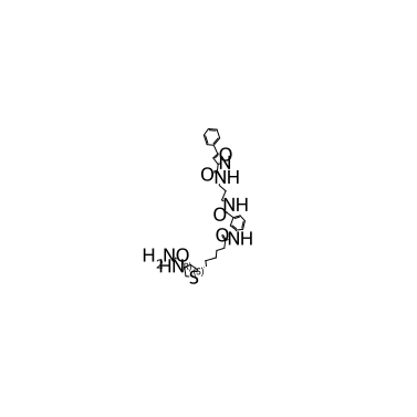 NC(=O)N[C@H]1CS[C@@H](CCCCCC(=O)Nc2cccc(C(=O)NCCCNC(=O)c3cc(-c4ccccc4)on3)c2)C1